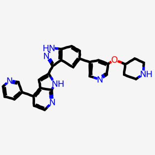 c1cncc(-c2ccnc3[nH]c(-c4n[nH]c5ccc(-c6cncc(OC7CCNCC7)c6)cc45)cc23)c1